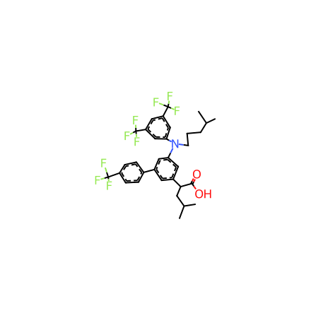 CC(C)CCCN(c1cc(-c2ccc(C(F)(F)F)cc2)cc(C(CC(C)C)C(=O)O)c1)c1cc(C(F)(F)F)cc(C(F)(F)F)c1